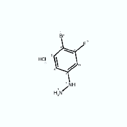 Cl.NNc1ccc(Br)c(F)c1